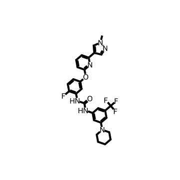 Cn1cc(-c2cccc(Oc3ccc(F)c(NC(=O)Nc4cc(N5CCCCC5)cc(C(F)(F)F)c4)c3)n2)cn1